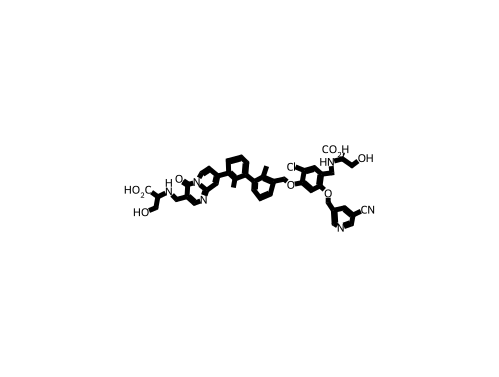 Cc1c(COc2cc(OCc3cncc(C#N)c3)c(CN[C@@H](CO)C(=O)O)cc2Cl)cccc1-c1cccc(-c2ccn3c(=O)c(CNC(CO)C(=O)O)cnc3c2)c1C